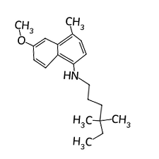 CCC(C)(C)CCCNc1ccc(C)c2cc(OC)ccc12